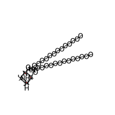 C=Cc1c(C)c2cc3[nH]c(cc4nc(cc5nc(cc1[nH]2)C(C)=C5CCC(=O)NCCOCCOCCOCCOCCOCCOCCOCCOCCOCCOCCOCCOCCOC)C(CCC(=O)NCCOCCOCCOCCOCCOCCOCCOCCOCCOCCOCCOCCOCCOC)=C4C)c(C)c3C=C